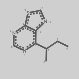 CCC(C)c1ncnc2scnc12